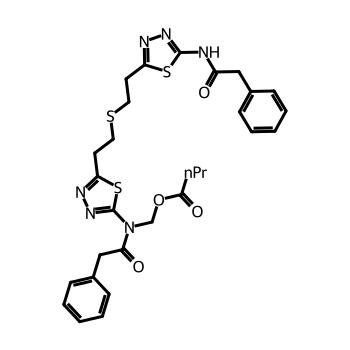 CCCC(=O)OCN(C(=O)Cc1ccccc1)c1nnc(CCSCCc2nnc(NC(=O)Cc3ccccc3)s2)s1